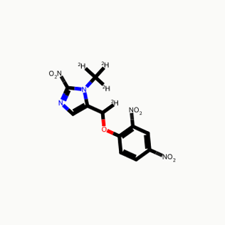 [2H]C(Oc1ccc([N+](=O)[O-])cc1[N+](=O)[O-])c1cnc([N+](=O)[O-])n1C([2H])([2H])[2H]